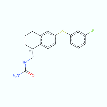 NC(=O)NC[C@@H]1CCCc2cc(Sc3cccc(F)c3)ccc21